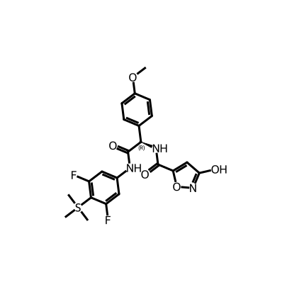 COc1ccc([C@@H](NC(=O)c2cc(O)no2)C(=O)Nc2cc(F)c(S(C)(C)C)c(F)c2)cc1